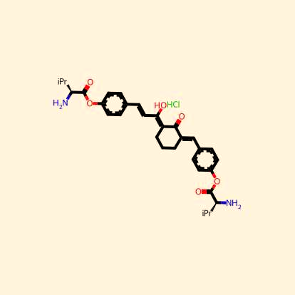 CC(C)[C@H](N)C(=O)Oc1ccc(/C=C/C(O)=C2\CCC/C(=C\c3ccc(OC(=O)[C@@H](N)C(C)C)cc3)C2=O)cc1.Cl